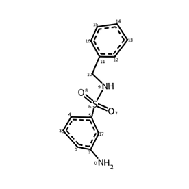 Nc1c[c]cc(S(=O)(=O)NCc2ccccc2)c1